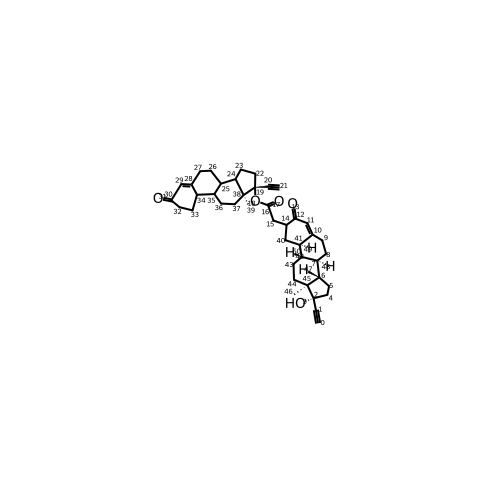 C#C[C@]1(O)CC[C@H]2[C@@H]3CCC4=CC(=O)C(CC(=O)O[C@@]5(C#C)CCC6C7CCC8=CC(=O)CCC8C7CC[C@@]65C)C[C@@H]4[C@H]3CC[C@@]21C